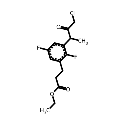 CCOC(=O)CCc1cc(F)cc(C(C)C(=O)CCl)c1F